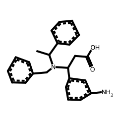 CC(c1ccccc1)N(Cc1ccccc1)C(CC(=O)O)c1cccc(N)c1